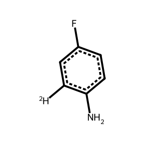 [2H]c1cc(F)ccc1N